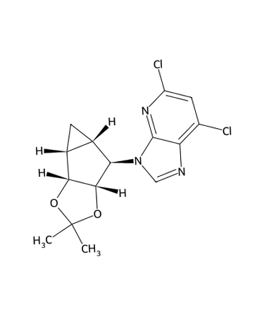 CC1(C)O[C@@H]2[C@@H]3C[C@@H]3[C@@H](n3cnc4c(Cl)cc(Cl)nc43)[C@@H]2O1